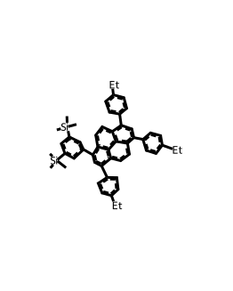 CCc1ccc(-c2cc(-c3ccc(CC)cc3)c3ccc4c(-c5cc([Si](C)(C)C)cc([Si](C)(C)C)c5)cc(-c5ccc(CC)cc5)c5ccc2c3c54)cc1